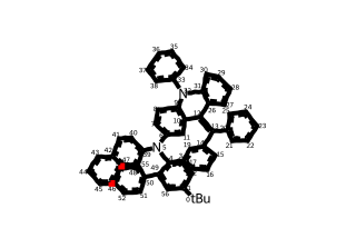 CC(C)(C)c1ccc(N(c2ccc3c(c2)C(=C(c2ccccc2)c2ccccc2)c2ccccc2N3c2ccccc2)c2ccc3ccccc3c2)c(-c2ccccc2)c1